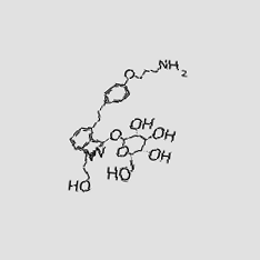 NCCCOc1ccc(CCc2cccc3c2c(O[C@@H]2O[C@H](CO)[C@@H](O)[C@H](O)[C@H]2O)nn3CCO)cc1